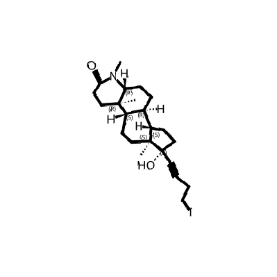 CN1C(=O)CC[C@]2(C)[C@H]3CC[C@@]4(C)[C@@H](CC[C@@]4(O)C#CCCI)[C@@H]3CC[C@@H]12